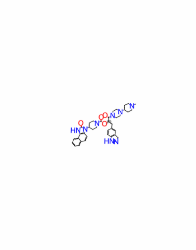 CN1CCC(N2CCN(C(=O)[C@@H](Cc3ccc4[nH]ncc4c3)OC(=O)N3CCC(n4c(=O)[nH]c5c6ccccc6ccc54)CC3)CC2)CC1